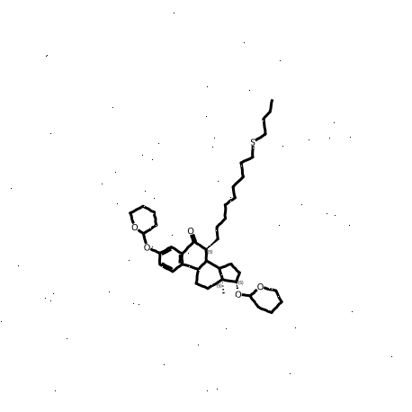 CCCCSCCCCCCCCC[C@@H]1C(=O)c2cc(OC3CCCCO3)ccc2C2CC[C@@]3(C)C(CC[C@@H]3OC3CCCCO3)C21